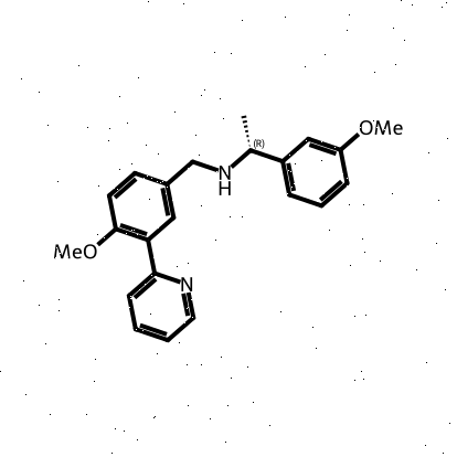 COc1cccc([C@@H](C)NCc2ccc(OC)c(-c3ccccn3)c2)c1